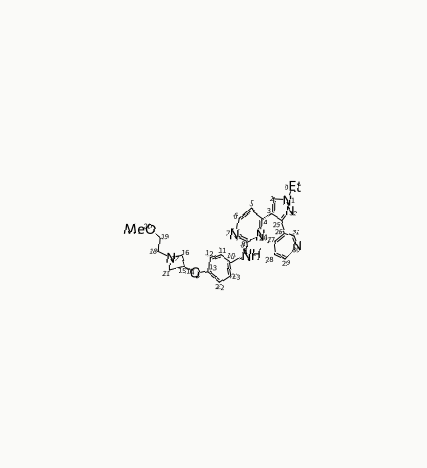 CCn1cc(-c2ccnc(Nc3ccc(OC4CN(CCOC)C4)cc3)n2)c(-c2cccnc2)n1